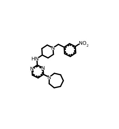 O=[N+]([O-])c1cccc(CN2CCC(Nc3nccc(N4CCCCCC4)n3)CC2)c1